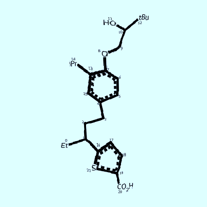 CCC(CCc1ccc(OCC(O)C(C)(C)C)c(C(C)C)c1)c1ccc(C(=O)O)s1